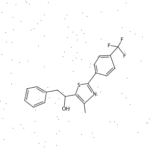 Cc1nc(-c2ccc(C(F)(F)F)cc2)sc1C(O)Cc1ccccc1